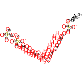 O.O.O.O.O.O.O.O.O.O.O.O.O.O.O.O.O.O.O=S(=O)([O-])[O-].O=S(=O)([O-])[O-].O=S(=O)([O-])[O-].[Al+3].[Al+3]